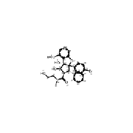 COc1cncc2c1[C@]1(O)[C@H](O)C(C(=O)N(C)CCO)[C@@H](c3ccccc3)C1(c1ccc(Br)cc1)O2